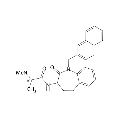 CN[C@@H](C)C(=O)NC1CCc2ccccc2N(CC2=CCC3C=CC=CC3=C2)C1=O